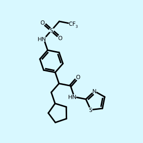 O=C(Nc1nccs1)C(CC1CCCC1)c1ccc(NS(=O)(=O)CC(F)(F)F)cc1